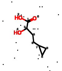 O=C(O)C(O)CCC1CC1